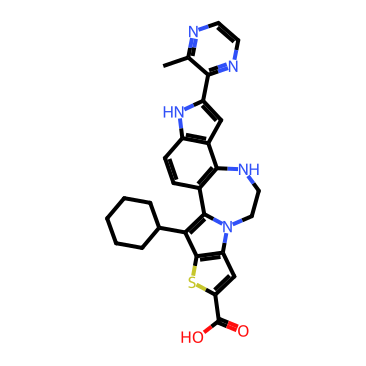 Cc1nccnc1-c1cc2c3c(ccc2[nH]1)-c1c(C2CCCCC2)c2sc(C(=O)O)cc2n1CCN3